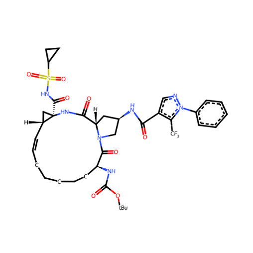 CC(C)(C)OC(=O)N[C@H]1CCCCC/C=C\[C@@H]2C[C@@]2(C(=O)NS(=O)(=O)C2CC2)NC(=O)[C@@H]2C[C@@H](NC(=O)c3cnn(-c4ccccc4)c3C(F)(F)F)CN2C1=O